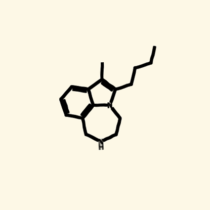 CCCCc1c(C)c2cccc3c2n1CCNC3